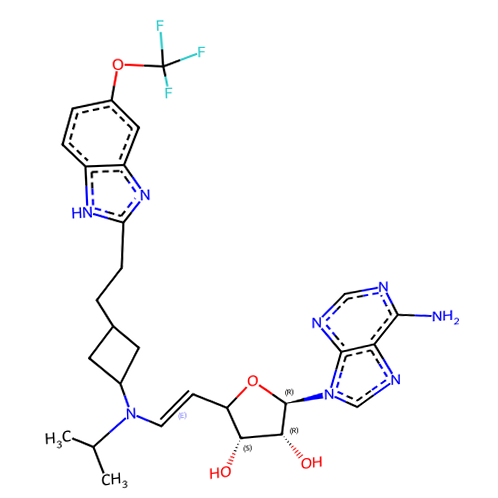 CC(C)N(/C=C/C1O[C@@H](n2cnc3c(N)ncnc32)[C@H](O)[C@@H]1O)C1CC(CCc2nc3cc(OC(F)(F)F)ccc3[nH]2)C1